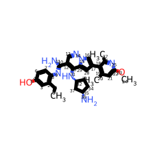 CCc1cc(O)ccc1N=C(N)c1cnn2cc(-c3c(C)cc(OC)nc3C)cc2c1N[C@H]1CC[C@@H](N)C1